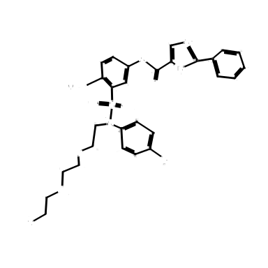 COc1ccc(NC(=O)c2cnc(-c3ccccc3)[nH]2)cc1S(=O)(=O)N(CCOCCOCCN)c1ccc(Br)cc1